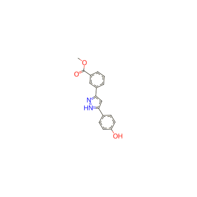 COC(=O)c1cccc(-c2cc(-c3ccc(O)cc3)[nH]n2)c1